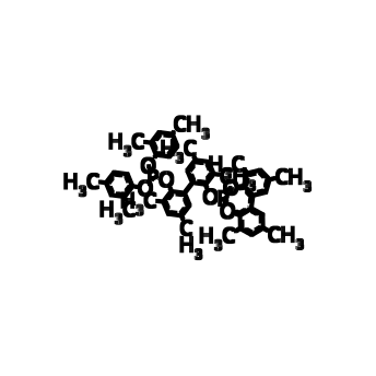 Cc1ccc(OP(Oc2ccc(C)cc2C)Oc2c(C)cc(C)cc2-c2cc(C)cc(C)c2Op2oc3c(C)cc(C)cc3c3cc(C)cc(C)c3o2)c(C)c1